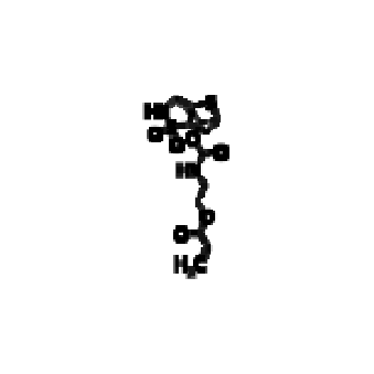 C=CC(=O)OCCNC(=O)OC1C2CC3C(S2)C1NS3(=O)=O